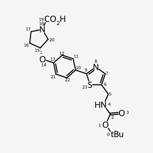 CC(C)(C)OC(=O)NCc1cnc(-c2ccc(O[C@@H]3CCN(C(=O)O)C3)cc2)s1